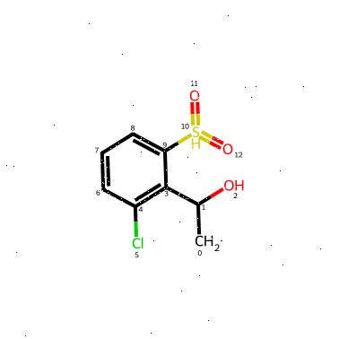 [CH2]C(O)c1c(Cl)cccc1[SH](=O)=O